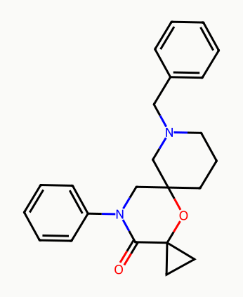 O=C1N(c2ccccc2)CC2(CCCN(Cc3ccccc3)C2)OC12CC2